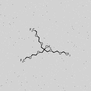 CC(COCCOCC(F)(F)F)(COCCOCC(F)(F)F)COCCOCC(F)(F)F